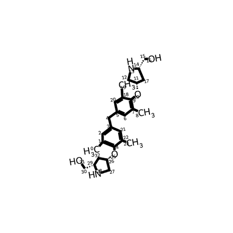 Cc1cc(Cc2cc(C)c(O[C@@H]3CN[C@H](CO)C3)c(C)c2)cc(C)c1O[C@@H]1CN[C@H](CO)C1